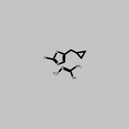 Clc1ncc(CC2CC2)s1.NC(S)=N[N+](=O)[O-]